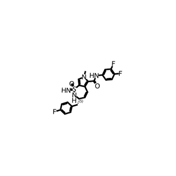 Cn1cc2c(c1C(=O)Nc1ccc(F)c(F)c1)C=C[C@H](Cc1ccc(F)cc1)NS2(=N)=O